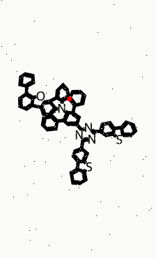 c1ccc(-c2cc(-c3nc(-c4ccc5c(c4)sc4ccccc45)nc(-c4ccc5c(c4)sc4ccccc45)n3)cc(-c3ccccc3)c2-n2c3ccccc3c3c4oc5c(-c6ccccc6)cccc5c4ccc32)cc1